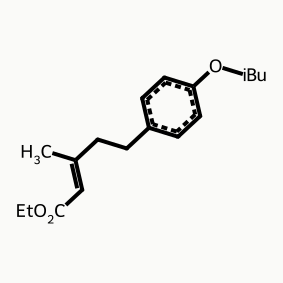 CCOC(=O)C=C(C)CCc1ccc(OC(C)CC)cc1